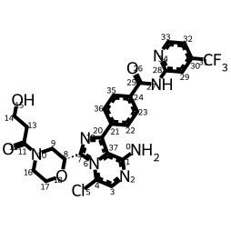 Nc1ncc(Cl)n2c([C@H]3CN(C(=O)CCO)CCO3)nc(-c3ccc(C(=O)Nc4cc(C(F)(F)F)ccn4)cc3)c12